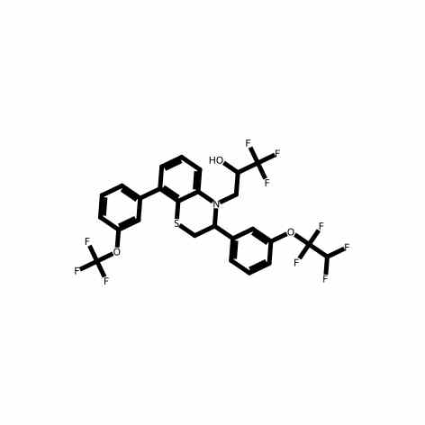 OC(CN1c2cccc(-c3cccc(OC(F)(F)F)c3)c2SCC1c1cccc(OC(F)(F)C(F)F)c1)C(F)(F)F